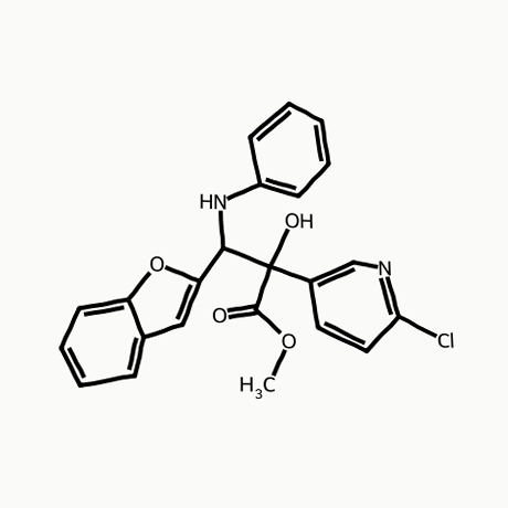 COC(=O)C(O)(c1ccc(Cl)nc1)C(Nc1ccccc1)c1cc2ccccc2o1